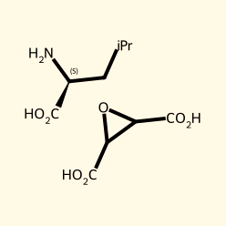 CC(C)C[C@H](N)C(=O)O.O=C(O)C1OC1C(=O)O